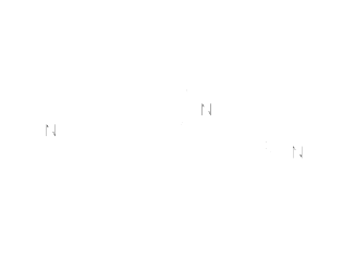 c1cncc(N2CCN3CCCC2CCC3)c1